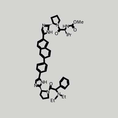 CCN(CC)C(C(=O)N1CCC[C@H]1c1ncc(-c2ccc(-c3ccc4cc(-c5cnc([C@@H]6CCCN6C(=O)[C@@H](NC(=O)OC)C(C)C)[nH]5)ccc4c3)cc2)[nH]1)c1ccccc1